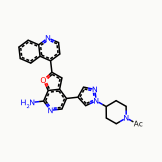 CC(=O)N1CCC(n2cc(-c3cnc(N)c4oc(-c5ccnc6ccccc56)cc34)cn2)CC1